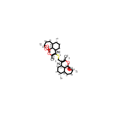 C[C@@H]1CC[C@H]2C(SCC3=C(C(F)(F)F)O[C@@H]4O[C@]5(C)CCC6[C@H](C)CC[C@@H]3[C@]64OO5)=C(C(F)(F)F)OC3O[C@]4(C)CCC1[C@]32OO4